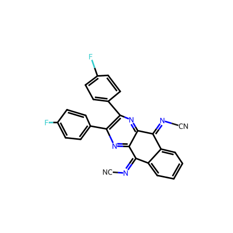 N#C/N=C1/c2ccccc2/C(=N\C#N)c2nc(-c3ccc(F)cc3)c(-c3ccc(F)cc3)nc21